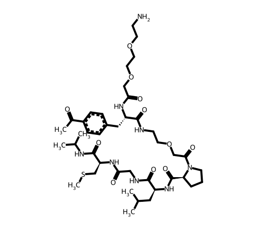 CSC[C@H](NC(=O)CNC(=O)[C@H](CC(C)C)NC(=O)[C@@H]1CCCN1C(=O)COCCNC(=O)[C@H](Cc1ccc(C(C)=O)cc1)NC(=O)COCCOCCN)C(=O)NC(C)C